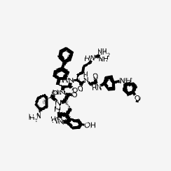 COc1ccc(Nc2ccc(NC(=O)CNC(=O)[C@H](CCCCNC(=N)N)NC(=O)[C@H](Cc3ccc(-c4ccccc4)cc3)NC(=O)[C@H](Cc3c[nH]c4ccc(O)cc34)NC(=O)[C@H]3CCC[C@H](N)C3)cc2)cc1